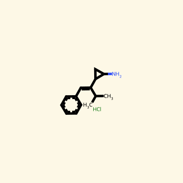 CC(C)/C(=C\c1ccccc1)C1CC1N.Cl